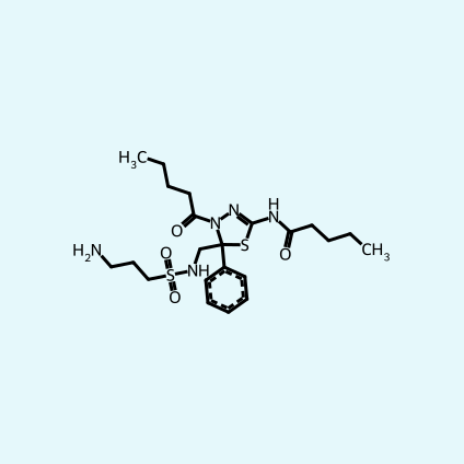 CCCCC(=O)NC1=NN(C(=O)CCCC)C(CNS(=O)(=O)CCCN)(c2ccccc2)S1